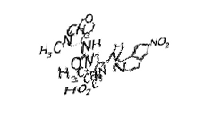 CN(C)C[C@@H](NC(=O)N1Cc2c(Nc3nccc4cc([N+](=O)[O-])ccc34)nn(C(=O)O)c2C1(C)C)C1CCOCC1